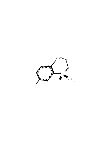 CC(C)(C)c1ccc2c(c1)S(=O)(=O)CCN2